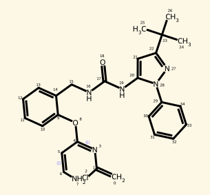 C=C(Cl)/N=C(\C=C/N)Oc1ccccc1CNC(=O)Nc1cc(C(C)(C)C)nn1-c1ccccc1